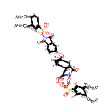 COc1ccc(S(=O)(=O)ON2C(=O)c3ccc(Oc4ccc5c(c4)C(=O)N(OS(=O)(=O)c4ccc(OC)c(OC)c4)C5=O)cc3C2=O)cc1OC